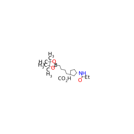 CCC(=O)N[C@H]1CC[C@@](CCCCB2OC(C)(C)C(C)(C)O2)(C(=O)O)C1